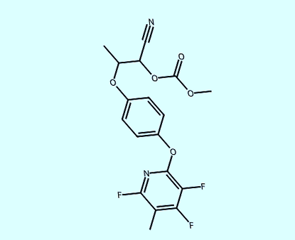 COC(=O)OC(C#N)C(C)Oc1ccc(Oc2nc(F)c(C)c(F)c2F)cc1